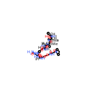 CO[C@H]([C@@H](C)C(=O)N[C@H](C)[C@@H](O)c1ccccc1)[C@@H]1CCCN1C(=O)C[C@@H](OC)[C@H](C1CCCC1)N(C)C(=O)[C@@H](NC(=O)C(C)(C)NC(=O)OCc1ccc(NC(=O)C(CCCNC(N)=O)NC(=O)[C@@H](NC(=O)CCOCCOCCNC(=O)CCCC(=O)N2Cc3ccccc3C#Cc3ccccc32)C(C)C)cc1)C(C)C